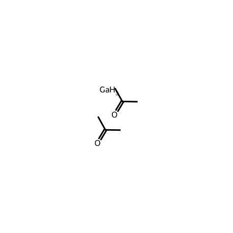 CC(C)=O.CC(C)=O.[GaH3]